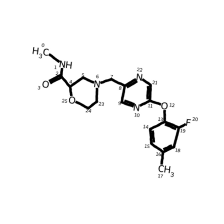 CNC(=O)C1CN(Cc2cnc(Oc3ccc(C)cc3F)cn2)CCO1